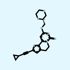 O=c1nc(OC[C@@H]2COCCO2)cc2n1CCc1cc(C#CC3CC3)sc1-2